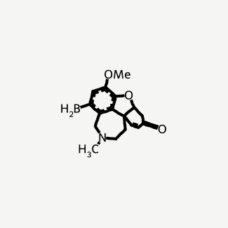 Bc1cc(OC)c2c3c1CN(C)CCC31C=CC(=O)CC1O2